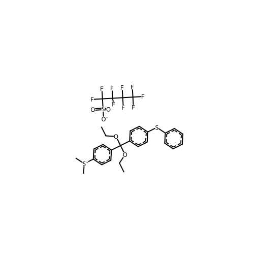 CCOC(OCC)(c1ccc(Sc2ccccc2)cc1)c1ccc([S+](C)C)cc1.O=S(=O)([O-])C(F)(F)C(F)(F)C(F)(F)C(F)(F)F